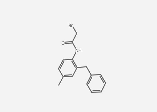 Cc1ccc(NC(=O)CBr)c(Cc2ccccc2)c1